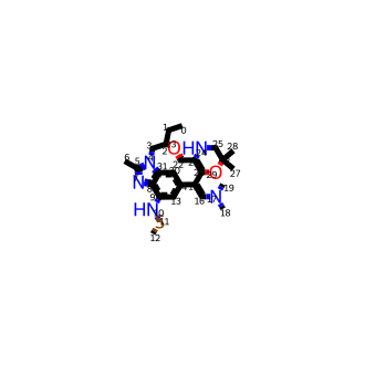 CCCCn1c(C)nc2c(NSC)cc(/C(=C/N(C)C)C3=C(C=O)NCC(C)(C)O3)cc21